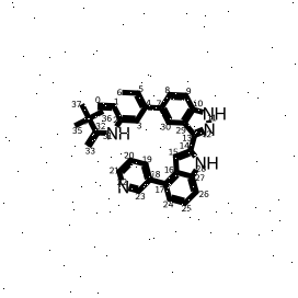 C=C/C(=C\C(=C/C)c1ccc2[nH]nc(-c3cc4c(-c5cccnc5)cccc4[nH]3)c2c1)NC(=C)C(C)(C)C